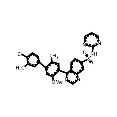 COc1cc(-c2ccc(Cl)c(C)c2)c(C)cc1-c1ncnc2cc(S(=O)(=O)Nc3ncccn3)ccc12